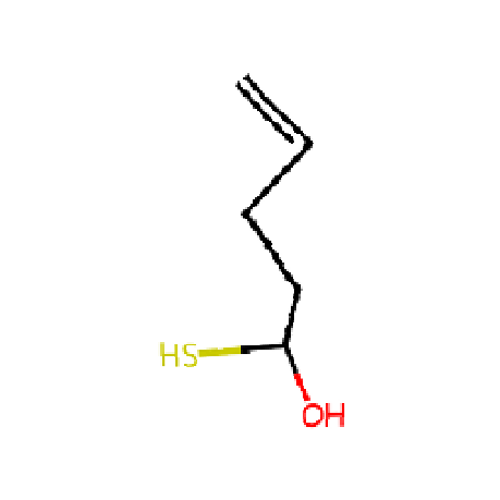 C=CCCC(O)S